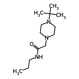 CCCNC(=O)CN1CCN(C(C)(C)C)CC1